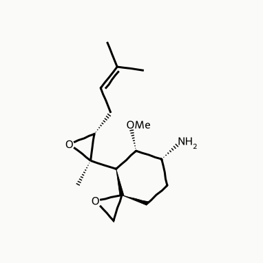 CO[C@@H]1[C@H](N)CC[C@]2(CO2)[C@H]1[C@@]1(C)O[C@@H]1CC=C(C)C